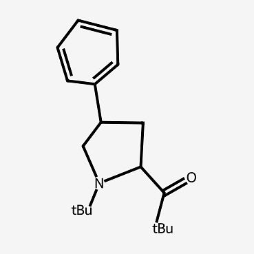 CC(C)(C)C(=O)C1CC(c2ccccc2)CN1C(C)(C)C